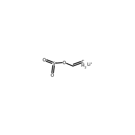 C=CO[S-](=O)=O.[Li+]